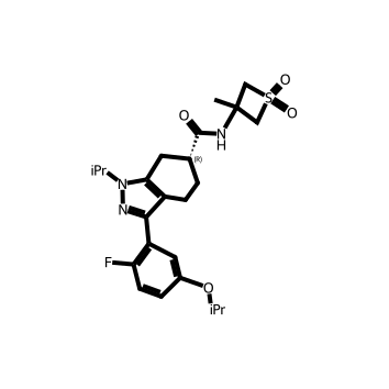 CC(C)Oc1ccc(F)c(-c2nn(C(C)C)c3c2CC[C@@H](C(=O)NC2(C)CS(=O)(=O)C2)C3)c1